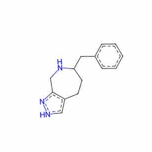 c1ccc(CC2CCc3c[nH]nc3CN2)cc1